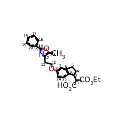 CCOC(=O)C(C(=O)O)C1CCc2cc(OCCc3nc(-c4ccccc4)oc3C)ccc21